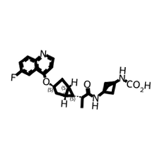 CC(C(=O)NC12CC(NC(=O)O)(C1)C2)[C@@H]1[C@@H]2C[C@@H](Oc3ccnc4ccc(F)cc34)C[C@@H]21